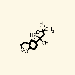 CC(C)(C)CC(C)(C)c1ccc2c(c1)CCOO2